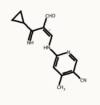 Cc1cc(N/C=C(/C=O)C(=N)C2CC2)ncc1C#N